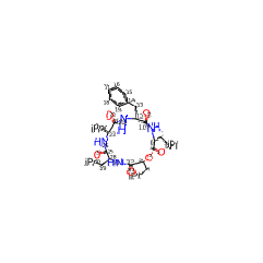 CC(C)CC1OC(=O)[C@H](CC(C)C)NC(=O)[C@H](Cc2ccccc2)NC(=O)[C@H](C(C)C)NC(=O)[C@H](CC(C)C)NC1=O